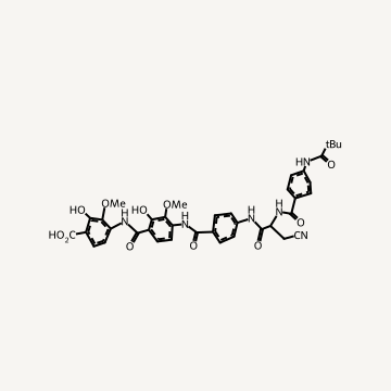 COc1c(NC(=O)c2ccc(NC(=O)c3ccc(NC(=O)C(CC#N)NC(=O)c4ccc(NC(=O)C(C)(C)C)cc4)cc3)c(OC)c2O)ccc(C(=O)O)c1O